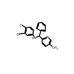 Cc1ccc(C(Nc2ccc(Cl)c(Cl)c2)c2ccccc2)nc1